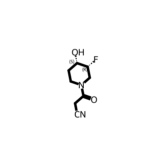 N#CCC(=O)N1CC[C@H](O)[C@H](F)C1